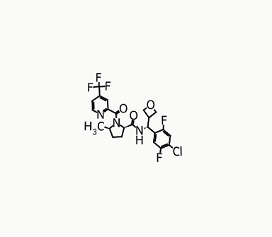 C[C@@H]1CC[C@H](C(=O)N[C@@H](c2cc(F)c(Cl)cc2F)C2COC2)N1C(=O)c1cc(C(F)(F)F)ccn1